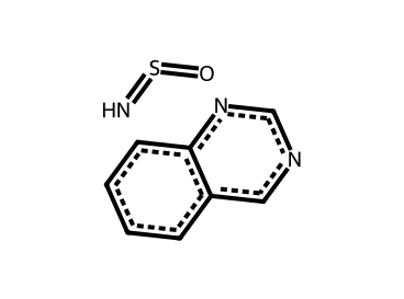 N=S=O.c1ccc2ncncc2c1